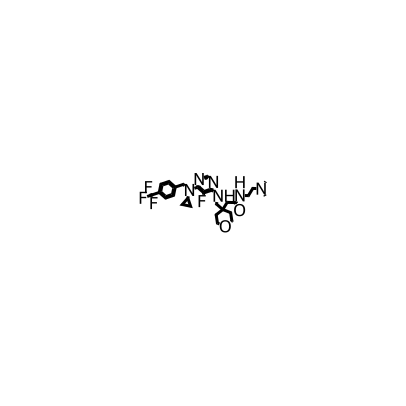 CN(C)CCNC(=O)CC1(CNc2ncnc(N(Cc3ccc(C(F)(F)F)cc3)C3CC3)c2F)CCOCC1